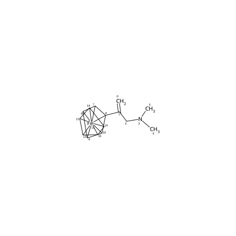 C=C(CN(C)C)[C]12[CH]3[CH]4[CH]5[CH]1[Fe]45321678[CH]2[CH]1[CH]6[CH]7[CH]28